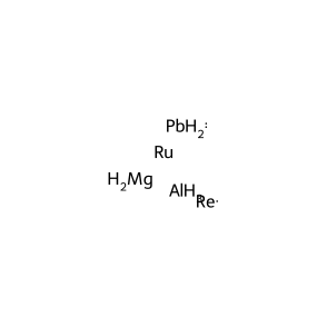 [AlH3].[MgH2].[PbH2].[Re].[Ru]